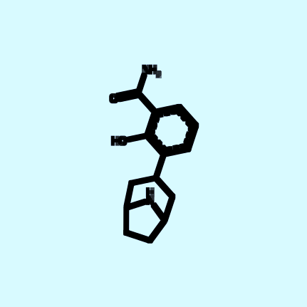 NC(=O)c1cccc(C2CC3CCC(C2)N3)c1O